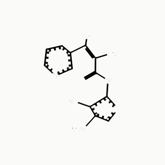 CNc1coc(NC(=O)C(C#N)=C(O)c2cccnc2)c1C#N